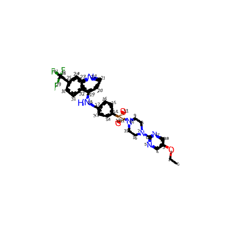 CCOc1cnc(N2CCN(S(=O)(=O)c3ccc(Nc4ccnc5cc(C(F)(F)F)ccc45)cc3)CC2)nc1